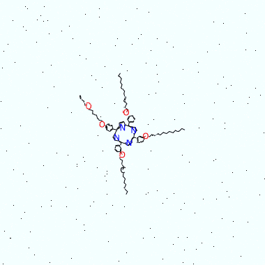 C=CCCOCCCCCCOc1ccc(C2=C3C=CC(=N3)C(c3cccc(OCCCCCCCCCCCCC)c3)=C3C=CC(=N3)C(c3cccc(OCCCCCCCCCCCCC)c3)=C3C=CC(=N3)C(c3cccc(OCCCCCCCCCCCCC)c3)=C3C=CC2=N3)cc1